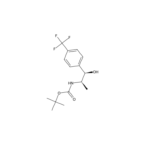 C[C@@H](NC(=O)OC(C)(C)C)[C@H](O)c1ccc(C(F)(F)F)cc1